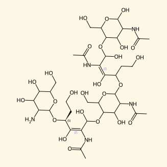 CC(=O)N/C(=C(\O)C(CCO)OC1OC(CO)C(OC(O)/C(NC(C)=O)=C(/O)[C@H](CCO)OC2OC(CO)C(O)C(O)C2N)C(O)C1NC(C)=O)C(O)OC1C(CO)OC(O)C(NC(C)=O)C1O